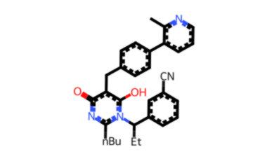 CCCCc1nc(=O)c(Cc2ccc(-c3cccnc3C)cc2)c(O)n1C(CC)c1cccc(C#N)c1